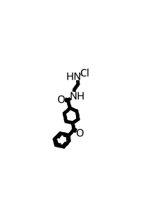 O=C(NCCNCl)C1CCC(C(=O)c2ccccc2)CC1